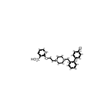 O=C(O)c1cccnc1OCCN1CCN(Cc2ccccc2-c2ccc(Cl)cc2)CC1